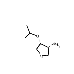 CC(C)O[C@H]1COC[C@H]1N